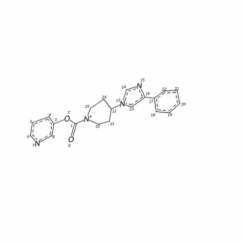 O=C(Oc1cccnc1)N1CCC(n2cnc(-c3ccccc3)c2)CC1